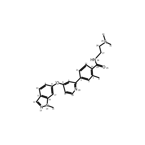 Cc1cc(-c2cc(Oc3ccc4cnn(C)c4c3)ccn2)ccc1C(=O)NCCN(C)C